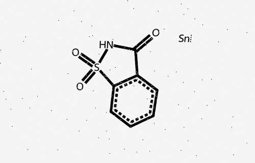 O=C1NS(=O)(=O)c2ccccc21.[Sn]